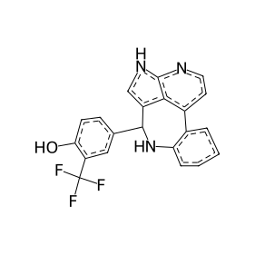 Oc1ccc(C2Nc3ccccc3-c3ccnc4[nH]cc2c34)cc1C(F)(F)F